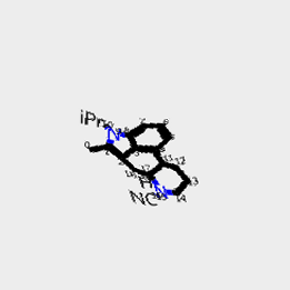 Cc1c2c3c(cccc3n1C(C)C)C1CCCN(C#N)[C@@H]1C2